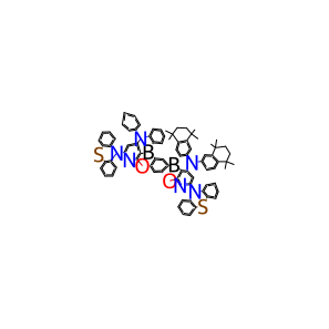 CC1(C)CCC(C)(C)c2cc(N3c4cc5c(cc4B4c6cc7c(cc6Oc6nc(N8c9ccccc9Sc9ccccc98)cc3c64)Oc3nc(N4c6ccccc6Sc6ccccc64)cc4c3B7c3ccccc3N4c3ccccc3)C(C)(C)CCC5(C)C)ccc21